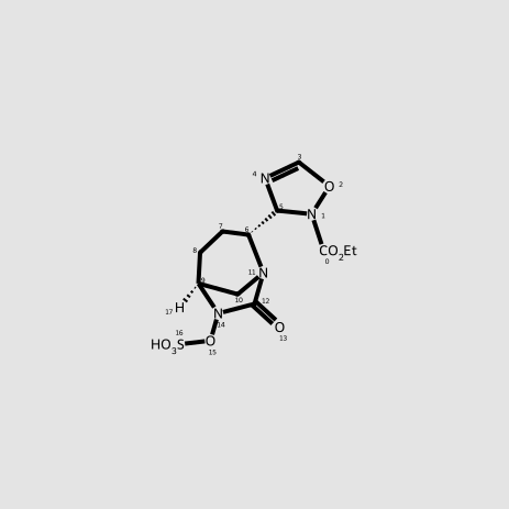 CCOC(=O)N1OC=NC1[C@H]1CC[C@H]2CN1C(=O)N2OS(=O)(=O)O